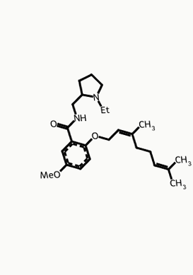 CCN1CCCC1CNC(=O)c1cc(OC)ccc1OCC=C(C)CCC=C(C)C